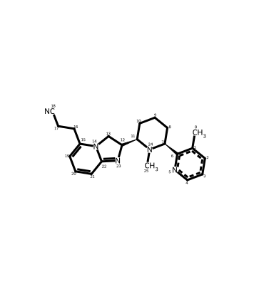 Cc1cccnc1[C@@H]1CCC[C@H](C2CN3C(CCC#N)=CC=CC3=N2)N1C